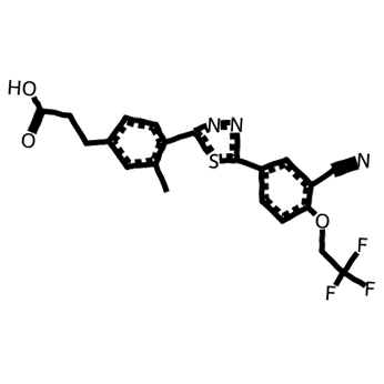 Cc1cc(CCC(=O)O)ccc1-c1nnc(-c2ccc(OCC(F)(F)F)c(C#N)c2)s1